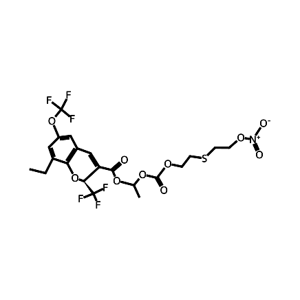 CCc1cc(OC(F)(F)F)cc2c1O[C@H](C(F)(F)F)C(C(=O)OC(C)OC(=O)OCCSCCO[N+](=O)[O-])=C2